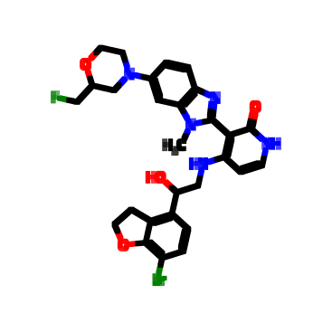 Cn1c(-c2c(NCC(O)c3ccc(Br)c4c3CCO4)cc[nH]c2=O)nc2ccc(N3CCOC(CF)C3)cc21